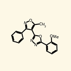 COc1ccccc1-c1nnc(-c2c(-c3ccccc3)noc2C)o1